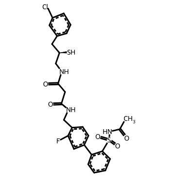 CC(=O)NS(=O)(=O)c1ccccc1-c1ccc(CNC(=O)CC(=O)NC[C@H](S)Cc2cccc(Cl)c2)c(F)c1